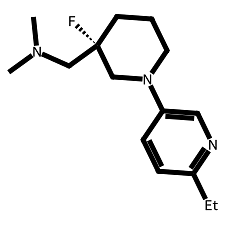 CCc1ccc(N2CCC[C@](F)(CN(C)C)C2)cn1